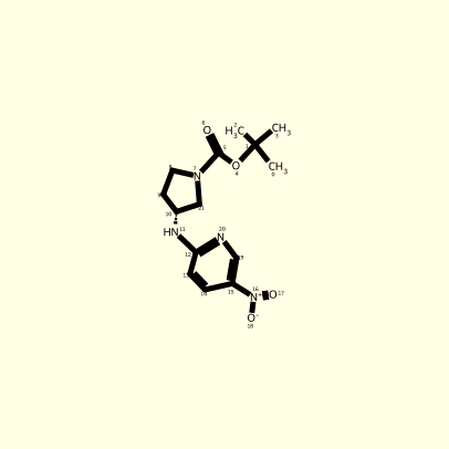 CC(C)(C)OC(=O)N1CC[C@@H](Nc2ccc([N+](=O)[O-])cn2)C1